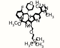 COC(=O)c1nn(COCC[Si](C)(C)C)c2c3ncc(-c4c(C)nnn4C)cc3n([C@H](c3ncccc3F)C3CCOCC3)c12